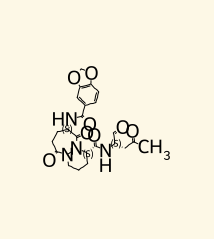 CC(=O)C[C@@H](C=O)NC(=O)[C@@H]1CCCN2C(=O)CC[C@H](NC(=O)c3ccc4c(c3)OCO4)C(=O)N12